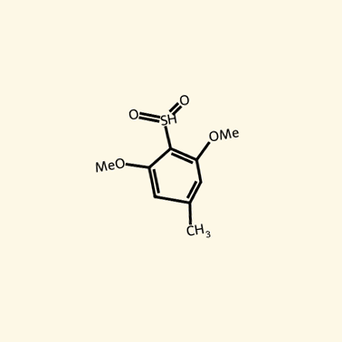 COc1cc(C)cc(OC)c1[SH](=O)=O